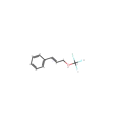 FC(F)(F)OC/C=C/c1ccccc1